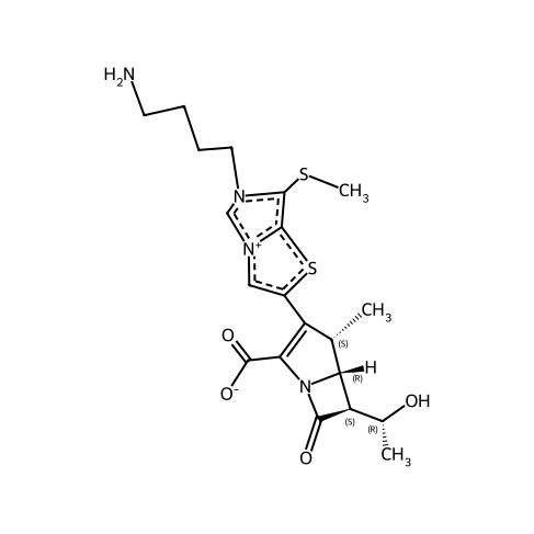 CSc1c2sc(C3=C(C(=O)[O-])N4C(=O)[C@H]([C@@H](C)O)[C@H]4[C@H]3C)c[n+]2cn1CCCCN